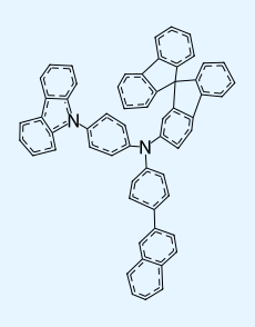 c1ccc2c(c1)-c1ccccc1C21c2ccccc2-c2ccc(N(c3ccc(-c4ccc5ccccc5c4)cc3)c3ccc(-n4c5ccccc5c5ccccc54)cc3)cc21